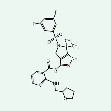 CC1(C)c2[nH]nc(NC(=O)c3cccnc3NCC3CCCO3)c2CN1S(=O)(=O)c1cc(F)cc(F)c1